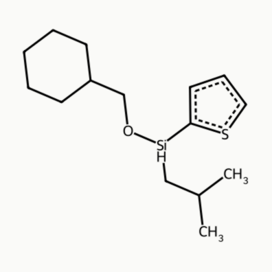 CC(C)C[SiH](OCC1CCCCC1)c1cccs1